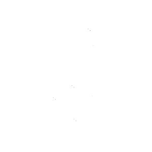 C/C(CN(Cc1ncccc1N)C1CCCc2cccnc21)=C(\C=C(/C)CN)CO